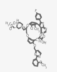 COc1ccccc1-c1nccc(COc2ccc3cc2C[C@H](C(=O)O)Oc2ncnc4sc(-c5ccc(F)cc5)c(c24)-c2ccc(c(Cl)c2C)O[C@H](CN2CCN[C@@H](CS(C)(=O)=O)C2)CO3)n1